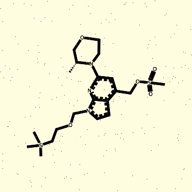 C[C@@H]1COCCN1c1cc(COS(C)(=O)=O)c2ccn(COCC[Si](C)(C)C)c2n1